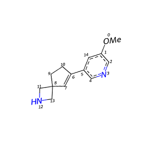 COc1cncc(C2=CC3(CC2)CNC3)c1